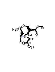 C/C=C1/[C@H](O)OC=C(C(=O)OC)[C@H]1CC(=O)O